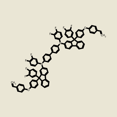 C=Cc1ccc(Oc2ccc(C3(c4ccc(F)c(F)c4)c4ccccc4-c4ccc(N(c5ccc(-c6ccc(N(c7ccc(F)c(F)c7)c7ccc8c(c7)C(c7ccc(Oc9ccc(C=C)cc9)cc7)(c7ccc(F)c(F)c7)c7ccccc7-8)cc6)cc5)c5ccc(F)c(F)c5)cc43)cc2)cc1